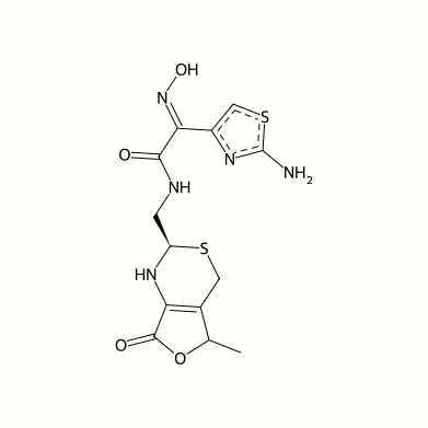 CC1OC(=O)C2=C1CS[C@H](CNC(=O)/C(=N/O)c1csc(N)n1)N2